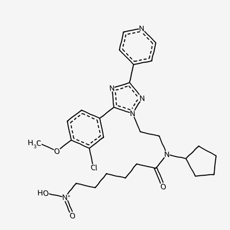 COc1ccc(-c2nc(-c3ccncc3)nn2CCN(C(=O)CCCCC[N+](=O)O)C2CCCC2)cc1Cl